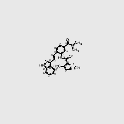 Cc1ccsc1C(=O)Nc1cc(C(=O)N(C)C)ccc1/C=C/c1n[nH]c2ccccc12.Cl